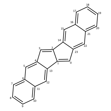 C1=C2C(=Cc3cc4ccccc4cc32)c2cc3ccccc3cc21